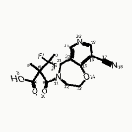 CC(F)(F)C(C)(C(=O)O)C(=O)N1CCOc2c(C#N)cncc2C1